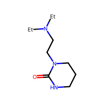 CCN(CC)CCN1CCCNC1=O